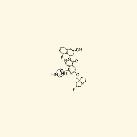 O=c1c2cc(OC[C@@]34CCCN3C[C@H](F)C4)nc(C3CC4CNCC3CN4)c2cnn1-c1cc(O)cc2cccc(F)c12